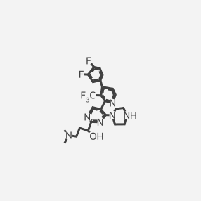 CN(C)CCC(O)c1ncc(-c2nccc(-c3ccc(F)c(F)c3)c2C(F)(F)F)c(N2CCNCC2)n1